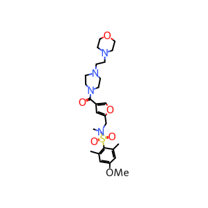 COc1cc(C)c(S(=O)(=O)N(C)Cc2cc(C(=O)N3CCN(CCN4CCOCC4)CC3)co2)c(C)c1